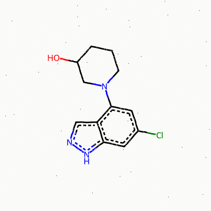 OC1CCCN(c2cc(Cl)cc3[nH]ncc23)C1